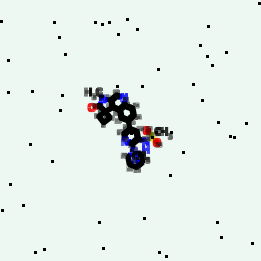 CN1C(=O)C2(CCC2)c2c1cnc1ccc(-c3cnc(N4CC5CC(C4)N5C)c(NS(C)(=O)=O)c3)cc21